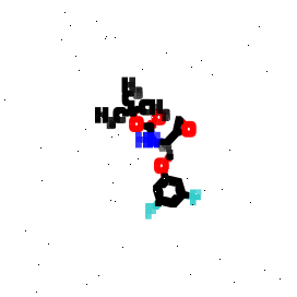 CC(C)(C)OC(=O)N[C@@H](COc1cc(F)cc(F)c1)C1CO1